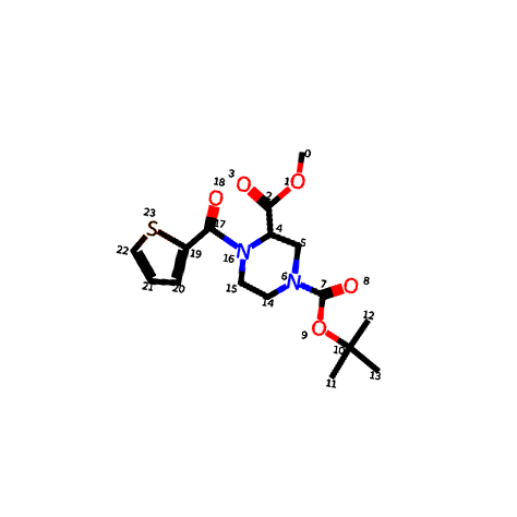 COC(=O)C1CN(C(=O)OC(C)(C)C)CCN1C(=O)c1cccs1